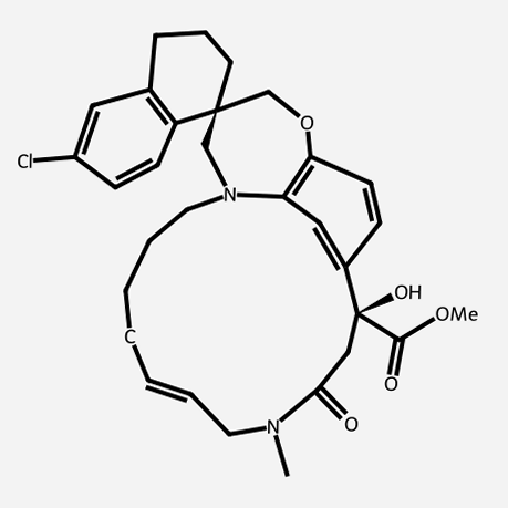 COC(=O)[C@]1(O)CC(=O)N(C)C/C=C/CCCCN2C[C@@]3(CCCc4cc(Cl)ccc43)COc3ccc1cc32